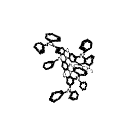 CC1(C)c2ccccc2N(c2ccccc2)c2cc3c(cc21)B1c2cc4c(cc2N(c2ccccc2)c2cc(N(c5ccccc5)c5ccccc5)cc(c21)O3)Oc1cc(N(c2ccccc2)c2ccccc2)cc2c1B4c1ccccc1N2c1ccccc1